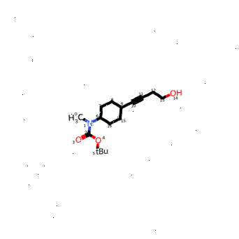 CN(C(=O)OC(C)(C)C)C1CCC(C#CCCO)CC1